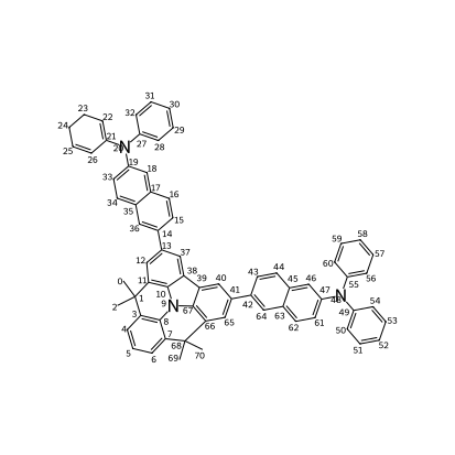 CC1(C)c2cccc3c2-n2c4c1cc(-c1ccc5cc(N(C6=CCCC=C6)c6ccccc6)ccc5c1)cc4c1cc(-c4ccc5cc(N(c6ccccc6)c6ccccc6)ccc5c4)cc(c12)C3(C)C